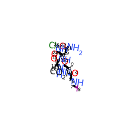 C[C@H](NC(=O)CNCI)C(=O)N[C@H](CC(=O)O)C(=O)N[C@H](CC(N)=O)C(=O)NCl